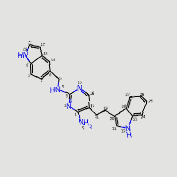 Nc1nc(NCc2ccc3[nH]ccc3c2)ncc1CCc1c[nH]c2ccccc12